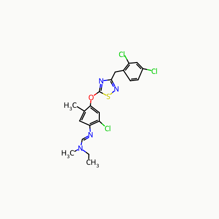 CCN(C)C=Nc1cc(C)c(Oc2nc(Cc3ccc(Cl)cc3Cl)ns2)cc1Cl